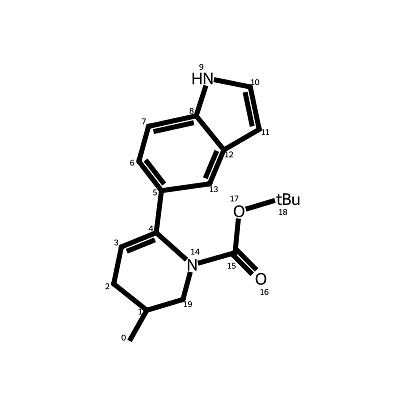 CC1CC=C(c2ccc3[nH]ccc3c2)N(C(=O)OC(C)(C)C)C1